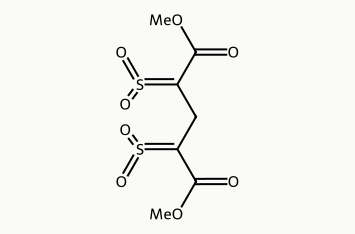 COC(=O)C(CC(C(=O)OC)=S(=O)=O)=S(=O)=O